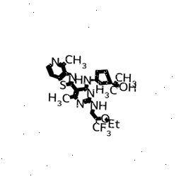 CCO[C@@H](CNc1nc(C)c(-c2nc3c(C)nccc3s2)c(N[C@H]2CC[C@@H](C(C)(C)O)C2)n1)C(F)(F)F